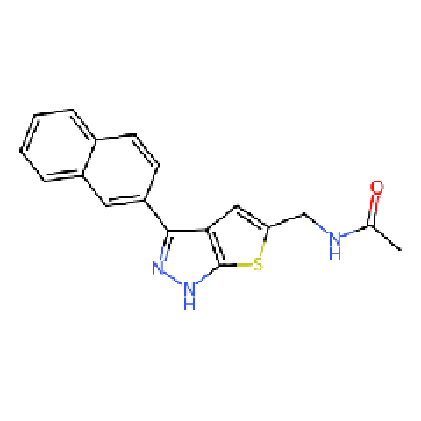 CC(=O)NCc1cc2c(-c3ccc4ccccc4c3)n[nH]c2s1